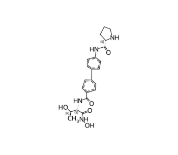 C[C@@H](O)[C@H](NC(=O)c1ccc(-c2ccc(NC(=O)[C@@H]3CCCN3)cc2)cc1)C(=O)NO